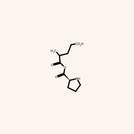 CC(CCC(=O)O)C(=O)OC(=O)[C@@H]1CCCN1